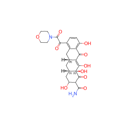 NC(=O)C1C(=O)[C@@]2(O)C(O)=C3C(=O)c4c(O)ccc(C(=O)C(=O)N5CCOCC5)c4C[C@H]3C[C@H]2CC1O